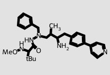 CONC(C(=O)NN(Cc1ccccc1)CC(C)C(N)Cc1ccc(-c2ccncc2)cc1)C(C)(C)C